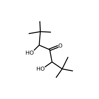 CC(C)(C)C(O)C(=O)C(O)C(C)(C)C